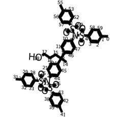 Cc1ccc(S(=O)(=O)N(c2ccc(C(C)(CCCO)c3ccc(N(S(=O)(=O)c4ccc(C)cc4)S(=O)(=O)c4ccc(C)cc4)cc3)cc2)S(=O)(=O)c2ccc(C)cc2)cc1